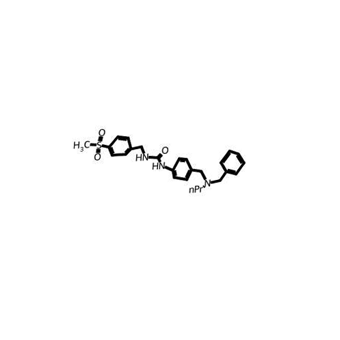 CCCN(Cc1ccccc1)Cc1ccc(NC(=O)NCc2ccc(S(C)(=O)=O)cc2)cc1